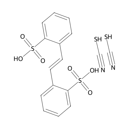 N#CS.N#CS.O=S(=O)(O)c1ccccc1C=Cc1ccccc1S(=O)(=O)O